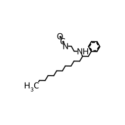 CCCCCCCCCCCC(Cc1ccccc1)NCCN=C=O